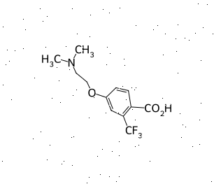 CN(C)CCOc1ccc(C(=O)O)c(C(F)(F)F)c1